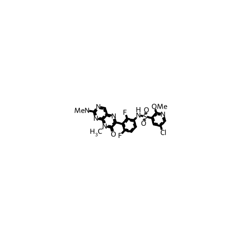 CNc1ncc2nc(-c3c(F)ccc(NS(=O)(=O)c4cc(Cl)cnc4OC)c3F)c(=O)n(C)c2n1